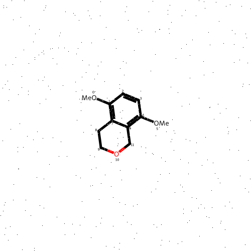 COc1ccc(OC)c2c1C[C]OC2